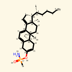 CC(C)CCC[C@@H](C)[C@H]1CC=C2C3=CC=C4CC(OP(C)(N)=O)=CC[C@]4(C)[C@H]3CC[C@@]21C